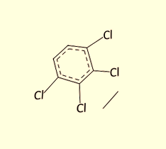 CC.Clc1ccc(Cl)c(Cl)c1Cl